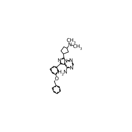 CN(C)C1CCC(c2nc(-c3cccc(OCc4ccccc4)c3)c3c(N)ncnn23)C1